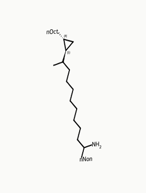 CCCCCCCCCC(N)CCCCCCCCC(C)[C@@H]1C[C@H]1CCCCCCCC